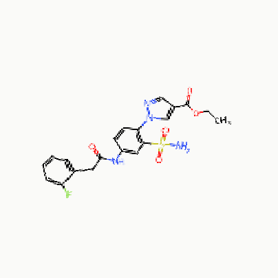 CCOC(=O)c1cnn(-c2ccc(NC(=O)Cc3ccccc3F)cc2S(N)(=O)=O)c1